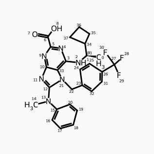 C[C@@H](Nc1nc(C(=O)O)nc2nc(N(C)c3ccccc3)n(Cc3ccc(C(F)(F)F)cc3)c12)C1CCC1